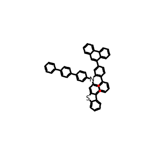 c1ccc(-c2ccc(-c3ccc(N(c4ccc5c(c4)sc4ccccc45)c4cc(-c5cc6ccccc6c6ccccc56)ccc4-c4ccccc4)cc3)cc2)cc1